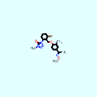 CO/N=C(\C)c1ccc(OCc2c(Br)cccc2-n2nnn(C)c2=O)c(C)c1